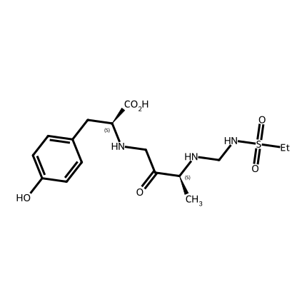 CCS(=O)(=O)NCN[C@@H](C)C(=O)CN[C@@H](Cc1ccc(O)cc1)C(=O)O